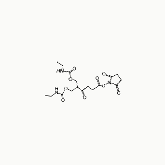 CCNC(=O)OCC(COC(=O)NCC)C(=O)CCC(=O)ON1C(=O)CCC1=O